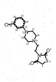 O=C1CSC(=O)N1CCN1CCN(c2cccc(Cl)c2)CC1